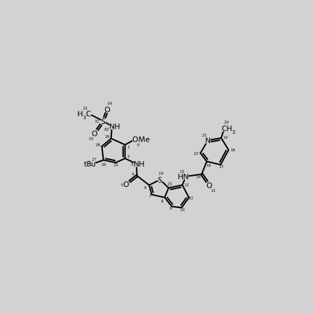 COc1c(NC(=O)c2cc3cccc(NC(=O)c4ccc(C)nc4)c3s2)cc(C(C)(C)C)cc1NS(C)(=O)=O